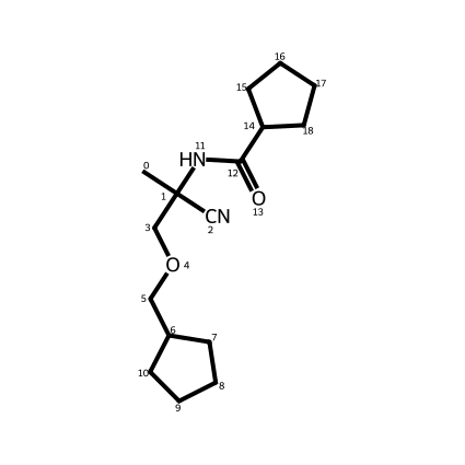 CC(C#N)(COCC1CCCC1)NC(=O)C1CCCC1